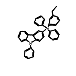 CCc1cccc([Si](c2ccccc2)(c2ccccc2)c2ccc3c(c2)c2ccccc2n3-c2ccccc2)c1